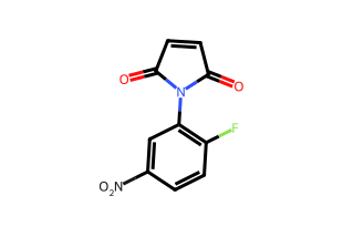 O=C1C=CC(=O)N1c1cc([N+](=O)[O-])ccc1F